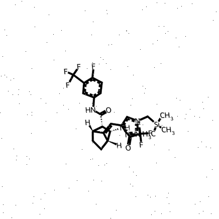 C[Si](C)(C)Cn1cc(/C=C2\[C@H]3CC[C@@H]2[C@H](C(=O)Nc2ccc(F)c(C(F)(F)F)c2)[C@@H]3NC(=O)C(F)(F)F)nn1